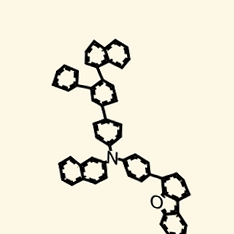 c1ccc(-c2cc(-c3ccc(N(c4ccc(-c5cccc6c5oc5ccccc56)cc4)c4ccc5ccccc5c4)cc3)ccc2-c2cccc3ccccc23)cc1